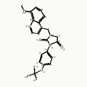 COc1cccc2c(CN3CC(=O)N(c4ccc(OC(F)(F)F)cc4)C3=O)ccnc12